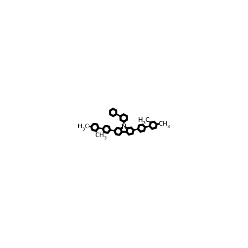 Cc1ccc(-c2ccc(-c3ccc4c5ccc(-c6ccc(-c7ccc(C)cc7C)cc6)cc5n(-c5cccc(-c6ccccc6)c5)c4c3)cc2)c(C)c1